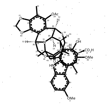 COc1ccc2[nH]c3c(c2c1)C[C@H](C(=O)O)N[C@]31CS[C@@H]2c3c(OC(C)=O)c(C)c4c(c3[C@H](COC1=O)N1[C@@H]2[C@@H]2c3c(cc(C)c(OC)c3O)CC1(C)CN2C)OCO4